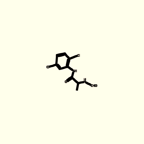 CC(NC=O)C(=O)Nc1cc(Cl)ccc1Cl